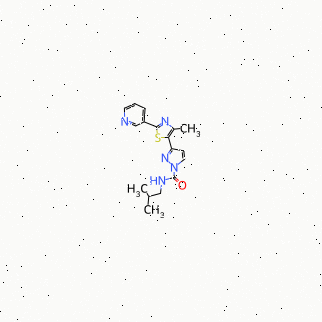 Cc1nc(-c2cccnc2)sc1-c1ccn(C(=O)NCC(C)C)n1